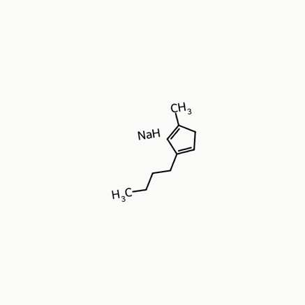 CCCCC1=CCC(C)=C1.[NaH]